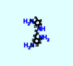 Cc1ccc(NC/C=C/c2cc(N)ccc2N)cc1N